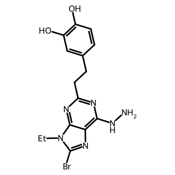 CCn1c(Br)nc2c(NN)nc(CCc3ccc(O)c(O)c3)nc21